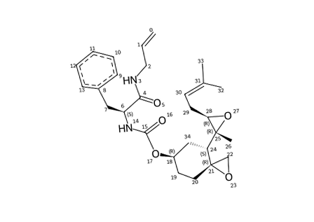 C=CCNC(=O)[C@H](Cc1ccccc1)NC(=O)O[C@@H]1CC[C@]2(CO2)[C@@H]([C@@]2(C)O[C@@H]2CC=C(C)C)C1